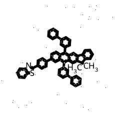 CC1(C)c2ccccc2-c2cc3c(-c4cccc(-c5ccccc5)c4)c4ccc(-c5ccc(-c6nc7ccccc7s6)cc5)cc4c(-c4cccc(-c5ccccc5)c4)c3cc21